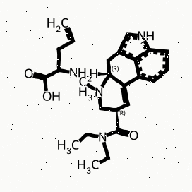 C=CCC(N)C(=O)O.CCN(CC)C(=O)[C@@H]1C=C2c3cccc4[nH]cc(c34)C[C@H]2N(C)C1